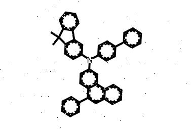 CC1(C)c2ccccc2-c2cc(N(c3ccc(-c4ccccc4)cc3)c3ccc4c(-c5ccccc5)cc5ccccc5c4c3)ccc21